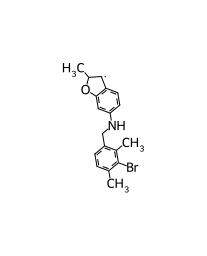 Cc1ccc(CNc2ccc3c(c2)OC(C)[CH]3)c(C)c1Br